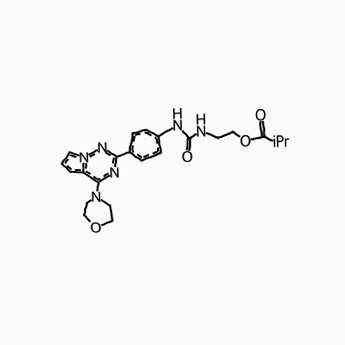 CC(C)C(=O)OCCNC(=O)Nc1ccc(-c2nc(N3CCOCC3)c3cccn3n2)cc1